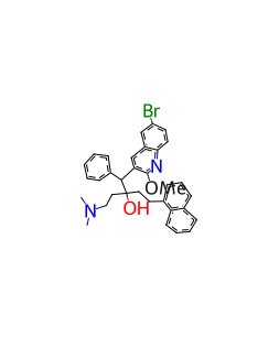 COc1nc2ccc(Br)cc2cc1C(c1ccccc1)C(O)(CCc1cccc2ccccc12)CCN(C)C